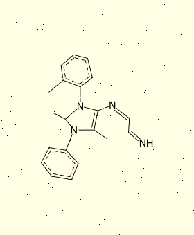 CC1=C(/N=C\C=N)N(c2ccccc2C)C(C)N1c1ccccc1